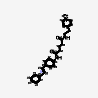 CCc1ccc(CCNC(=O)CCCC(=O)Nc2ccc(/C=C/c3ccccc3)cc2)cc1